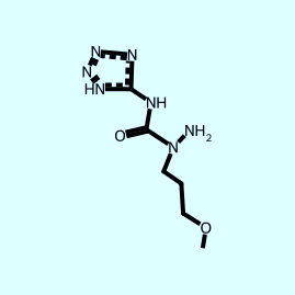 COCCCN(N)C(=O)Nc1nnn[nH]1